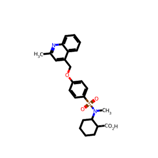 Cc1cc(COc2ccc(S(=O)(=O)N(C)C3CCCCC3C(=O)O)cc2)c2ccccc2n1